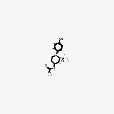 CC(=O)O.N#Cc1ccc(N2CCC(OC(=O)C(F)(F)F)CC2)cc1